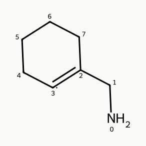 NCC1=[C]CCCC1